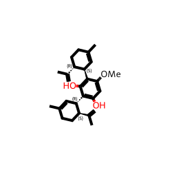 C=C(C)[C@H]1CCC(C)=C[C@@H]1c1c(O)cc(OC)c([C@@H]2C=C(C)CC[C@H]2C(=C)C)c1O